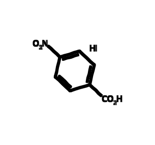 I.O=C(O)c1ccc([N+](=O)[O-])cc1